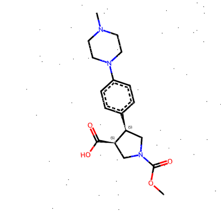 COC(=O)N1C[C@H](c2ccc(N3CCN(C)CC3)cc2)[C@H](C(=O)O)C1